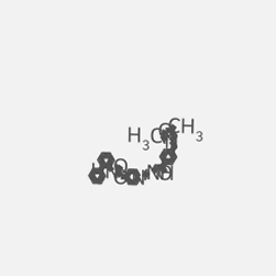 CC1CN(Cc2ccc(C(=O)CNCCN3CCC(OC(=O)Nc4ccccc4-c4ccccc4)CC3)cc2)CC(C)O1